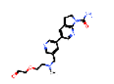 CN(CCOCC=O)Cc1cncc(-c2cnc3c(c2)CCN3C(N)=O)c1